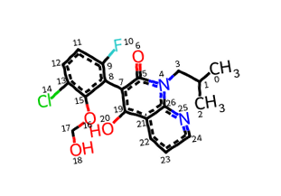 CC(C)Cn1c(=O)c(-c2c(F)ccc(Cl)c2OCO)c(O)c2cccnc21